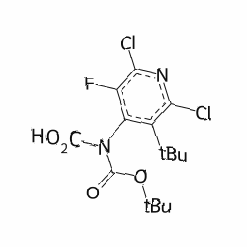 CC(C)(C)OC(=O)N(C(=O)O)c1c(F)c(Cl)nc(Cl)c1C(C)(C)C